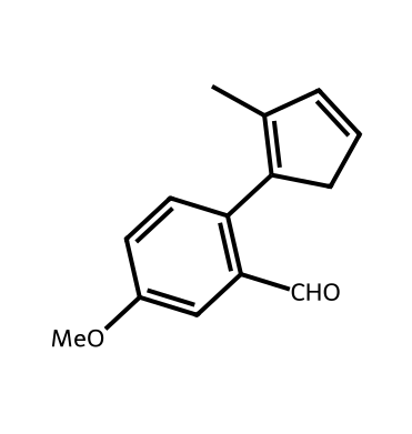 COc1ccc(C2=C(C)C=CC2)c(C=O)c1